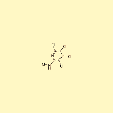 ClNc1nc(Cl)c(Cl)c(Cl)c1Cl